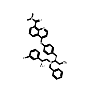 CN(C)C(=O)c1cccc2c(Oc3ccc(C[C@@H](CO)N(Cc4ccccc4)C[C@H](O)c4cccc(Cl)c4)cc3)ccnc12